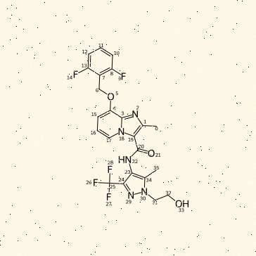 Cc1nc2c(OCc3c(F)cccc3F)cccn2c1C(=O)Nc1c(C(F)(F)F)nn(CCO)c1C